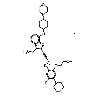 OCCOc1cc(N2CCOCC2)c(F)cc1NCC#Cc1sc2c(NC3CCC(N4CCOCC4)CC3)cccc2c1CC(F)(F)F